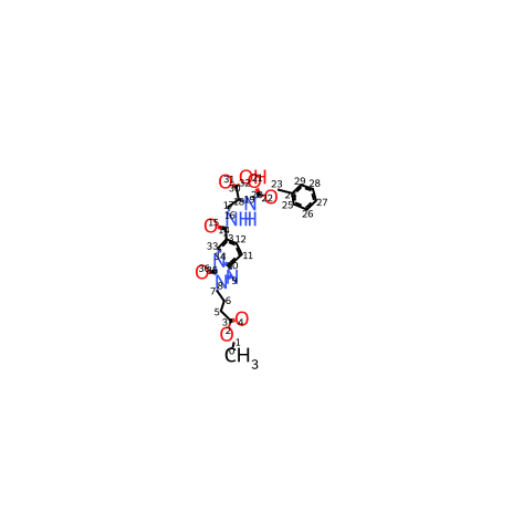 CCOC(=O)CCCn1nc2ccc(C(=O)NCC(NC(=O)OCc3ccccc3)C(=O)O)cn2c1=O